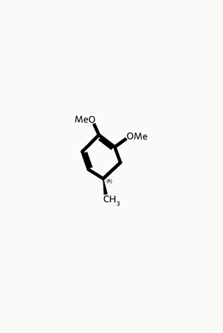 COC1=C(OC)C[C@@H](C)C=C1